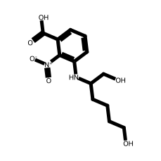 O=C(O)c1cccc(NC(CO)CCCCO)c1[N+](=O)[O-]